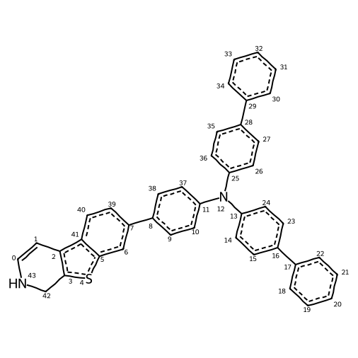 C1=Cc2c(sc3cc(-c4ccc(N(c5ccc(-c6ccccc6)cc5)c5ccc(-c6ccccc6)cc5)cc4)ccc23)CN1